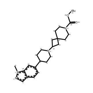 Cn1ncc2ccc(C3CCN(C4CC5(CCN(C(=O)OC(C)(C)C)CC5)C4)CC3)cc21